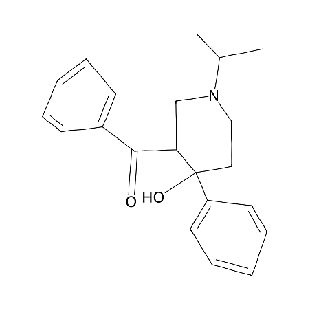 CC(C)N1CCC(O)(c2ccccc2)C(C(=O)c2ccccc2)C1